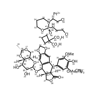 COc1cc([C@@H]2c3cc4c(cc3C(O[C@@H]3O[C@@H]5CO[C@@H](C)O[C@H]5[C@H](O)[C@H]3O)[C@H]3COC(=O)[C@H]23)OCO4)cc(OC)c1O.O=C(O)C1(C(=O)O)CCC1.O=P1(NCCCl)OCCCN1CCCl.[CH3-].[CH3-].[Pt+2]